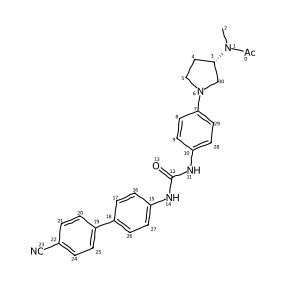 CC(=O)N(C)[C@H]1CCN(c2ccc(NC(=O)Nc3ccc(-c4ccc(C#N)cc4)cc3)cc2)C1